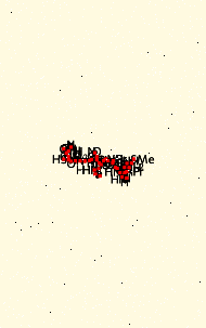 CSCCC(NC(=O)[C@H](CC(C)C)NC(=O)[C@H](Cc1cnc[nH]1)NC(=O)CNC(=O)C(NC(=O)[C@H](C)NC(=O)[C@H](Cc1c[nH]c2ccccc12)NC(=O)[C@H](CCC(N)=O)NC(=O)CCCCNC(=O)CNC(=O)[C@H](CS)NC(=O)[C@H](CO)NC(=O)CN(C)C)C(C)C)C(N)=O